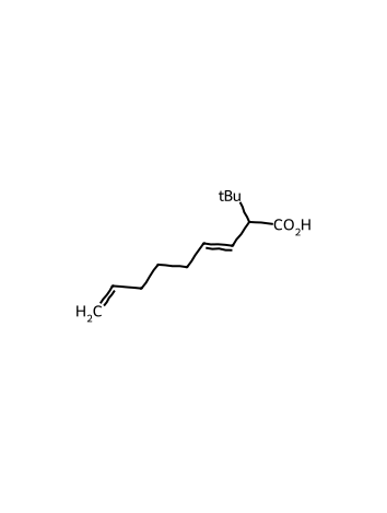 C=CCCCC=CC(C(=O)O)C(C)(C)C